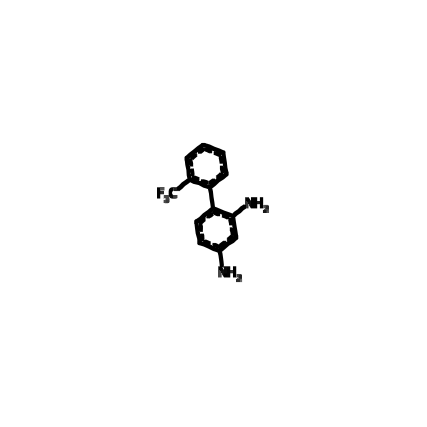 Nc1ccc(-c2ccccc2C(F)(F)F)c(N)c1